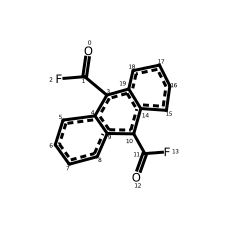 O=C(F)c1c2ccccc2c(C(=O)F)c2ccccc12